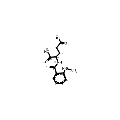 CNc1ccccc1C(=O)NC(CCC(=O)O)C(=O)O